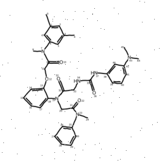 Cc1cc(C)cc(N(C)C(=O)COc2ccccc2N(CC(=O)N(C)c2ccccc2)C(=O)CNC(=O)Nc2cccc(N(C)C)c2)c1